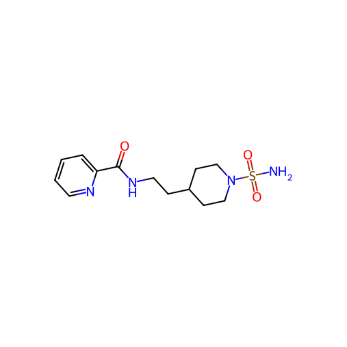 NS(=O)(=O)N1CCC(CCNC(=O)c2ccccn2)CC1